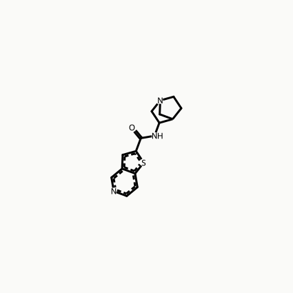 O=C(NC1CN2CCC1C2)c1cc2cnccc2s1